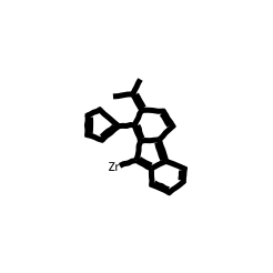 CC(C)=c1ccc2c(c1C1=CC=CC1)[C]([Zr])=c1ccccc1=2